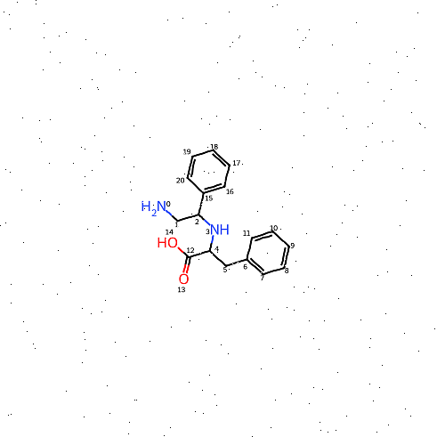 NCC(NC(Cc1ccccc1)C(=O)O)c1ccccc1